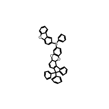 C1=CC2Oc3cc(N(c4ccccc4)c4ccc5oc6ccccc6c5c4)ccc3OC2C2=C1C(c1ccccc1)(c1ccccc1)c1ccccc12